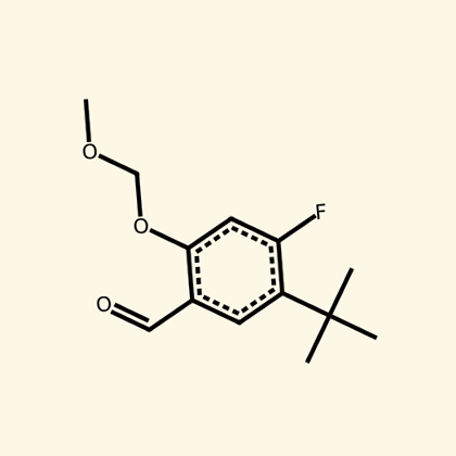 COCOc1cc(F)c(C(C)(C)C)cc1C=O